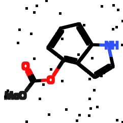 COC(=O)Oc1cccc2[nH]ccc12